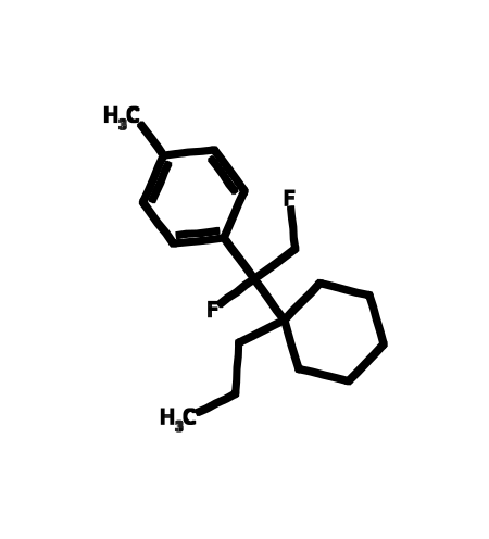 CCCC1(C(F)(CF)c2ccc(C)cc2)CCCCC1